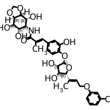 CC(=Cc1ccc(O[C@@H]2O[C@H](C(C)=CCOc3cccc(Cl)c3)[C@@H](O)[C@@H]2O)c(O)c1)C(=O)N[C@@H]1[C@H](O)[C@@H](O)[C@H]2OCO[C@H]2[C@@H]1O